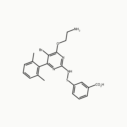 Cc1cccc(C)c1-c1nc(NSc2cccc(C(=O)O)c2)nc(OCCN)c1Br